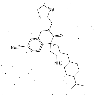 CC(C)C1CCC(CCCC2(CCN)C(=O)N(CC3=NCCN3)Cc3cc(C#N)ccc32)CC1